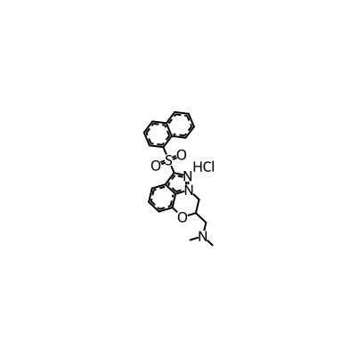 CN(C)CC1Cn2nc(S(=O)(=O)c3cccc4ccccc34)c3cccc(c32)O1.Cl